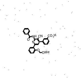 COCOc1ccccc1-c1cc(-c2cccc(C(=O)O)c2)c(C#N)c(NC(=O)c2ccccc2)n1